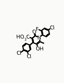 Cc1c(O)c(-c2ccc(Cl)c(Cl)c2)c(C(=O)O)c(=O)n1-c1ccc(Cl)cc1F